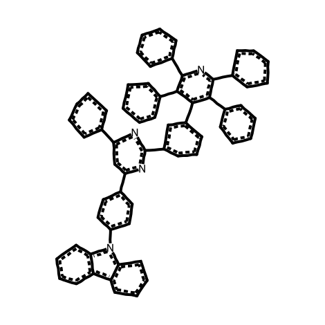 c1ccc(-c2cc(-c3ccc(-n4c5ccccc5c5ccccc54)cc3)nc(-c3cccc(-c4c(-c5ccccc5)c(-c5ccccc5)nc(-c5ccccc5)c4-c4ccccc4)c3)n2)cc1